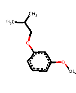 COc1[c]ccc(OCC(C)C)c1